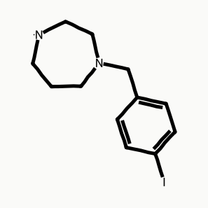 Ic1ccc(CN2CCC[N]CC2)cc1